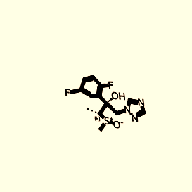 C[C@@H]([S+](C)[O-])[C@](O)(Cn1cncn1)c1cc(F)ccc1F